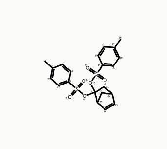 Cc1ccc(S(=O)(=O)OC2(OS(=O)(=O)c3ccc(C)cc3)CC3C=CC2C3)cc1